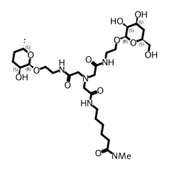 CNC(=O)CCCCCNC(=O)CN(CC(=O)NCCO[C@@H]1O[C@H](CO)C[C@H](O)[C@@H]1O)CC(=O)NCCO[C@@H]1O[C@@H](C)CC[C@@H]1O